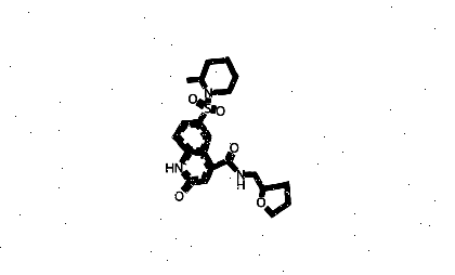 CC1CCCCN1S(=O)(=O)c1ccc2[nH]c(=O)cc(C(=O)NCC3CCCO3)c2c1